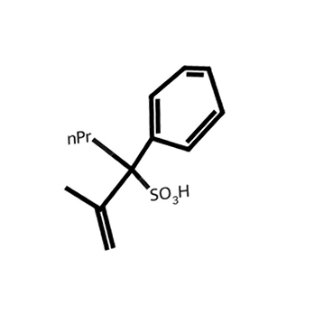 C=C(C)C(CCC)(c1ccccc1)S(=O)(=O)O